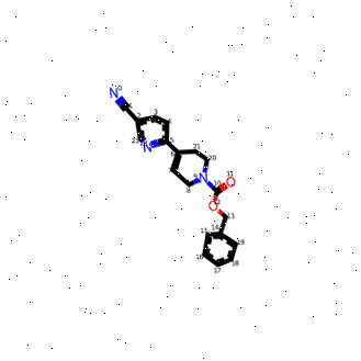 N#Cc1ccc(C2=CCN(C(=O)OCc3ccccc3)CC2)nc1